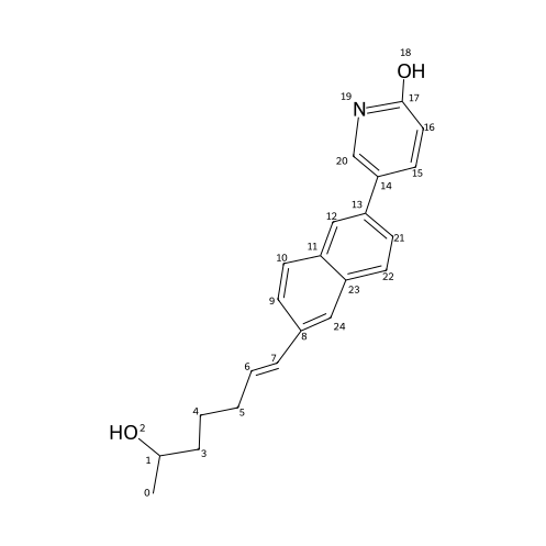 CC(O)CCC/C=C/c1ccc2cc(-c3ccc(O)nc3)ccc2c1